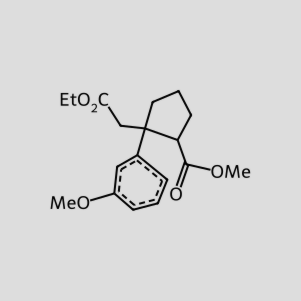 CCOC(=O)CC1(c2cccc(OC)c2)CCCC1C(=O)OC